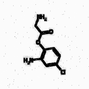 NCC(=O)Oc1ccc(Cl)cc1N